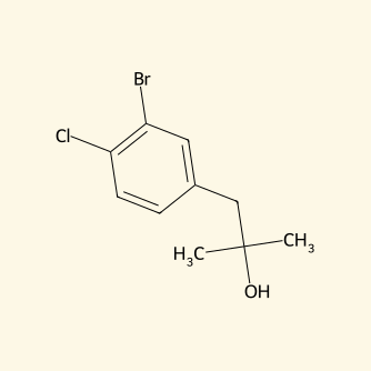 CC(C)(O)Cc1ccc(Cl)c(Br)c1